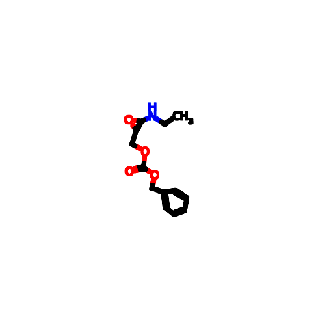 CCNC1OC1COC(=O)OCc1ccccc1